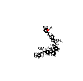 COc1cc(-c2nccc(-c3cccc(NC(=O)c4nc5c(n4C)CCN(CCC46CCC(C(=O)O)(CC4)C6)C5)c3C)c2Cl)ccc1CNC[C@H]1CCC(=O)N1